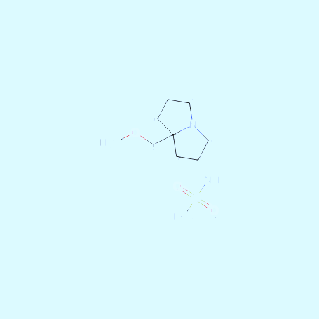 COCC12CCCN1C[C@H](NS(C)(=O)=O)C2